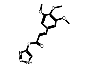 COc1cc(/C=C/C(=O)Oc2c[nH]nn2)cc(OC)c1OC